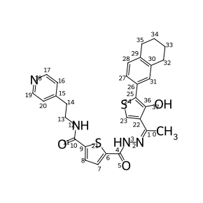 C/C(=N/NC(=O)c1ccc(C(=O)NCCc2ccncc2)s1)c1csc(-c2ccc3c(c2)CCCC3)c1O